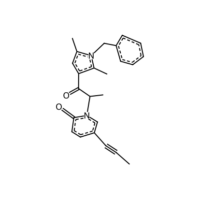 CC#Cc1ccc(=O)n(C(C)C(=O)c2cc(C)n(Cc3ccccc3)c2C)c1